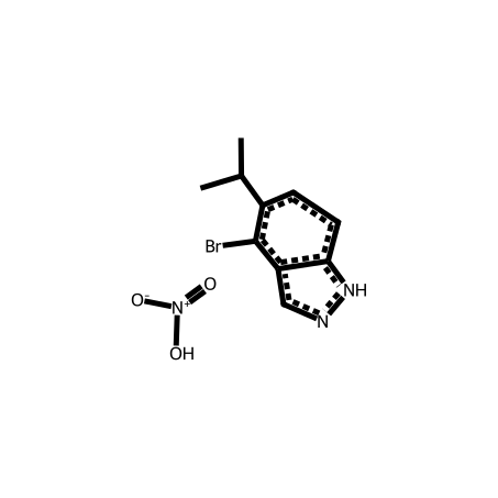 CC(C)c1ccc2[nH]ncc2c1Br.O=[N+]([O-])O